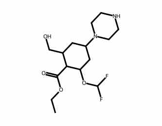 CCOC(=O)C1C(CO)CC(N2CCNCC2)CC1OC(F)F